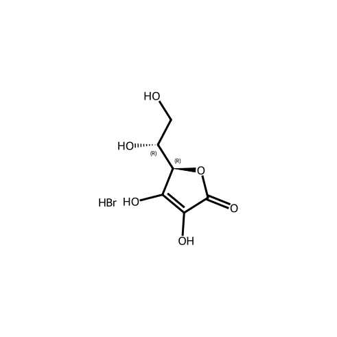 Br.O=C1O[C@H]([C@H](O)CO)C(O)=C1O